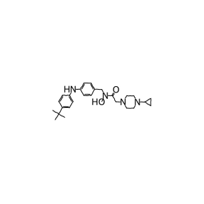 CC(C)(C)c1ccc(Nc2ccc(CN(O)C(=O)CN3CCN(C4CC4)CC3)cc2)cc1